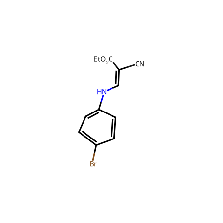 CCOC(=O)/C(C#N)=C\Nc1ccc(Br)cc1